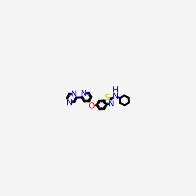 c1cnc(-c2cc(Oc3ccc4nc(NC5CCCCC5)sc4c3)ccn2)cn1